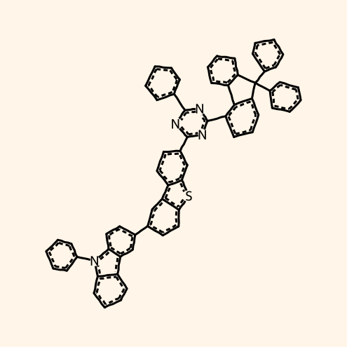 c1ccc(-c2nc(-c3ccc4c(c3)sc3ccc(-c5ccc6c(c5)c5ccccc5n6-c5ccccc5)cc34)nc(-c3cccc4c3-c3ccccc3C4(c3ccccc3)c3ccccc3)n2)cc1